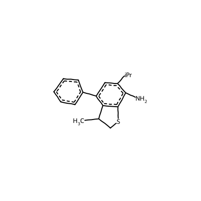 CC(C)c1cc(-c2ccccc2)c2c(c1N)SCC2C